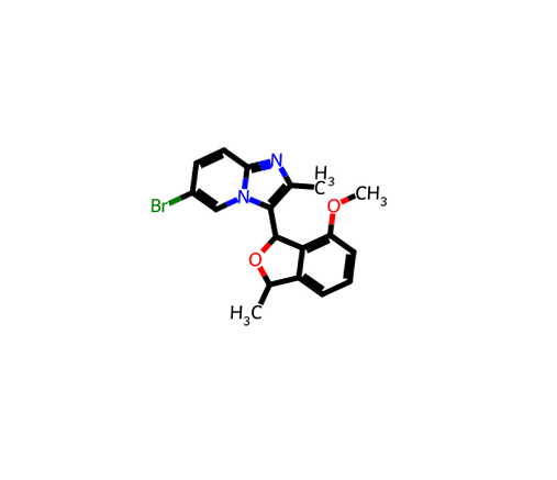 COc1cccc2c1C(c1c(C)nc3ccc(Br)cn13)OC2C